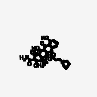 C[C@@H]1c2cccc(O)c2C(=O)C2=C(O)[C@@]3(O)C(=O)C(C(N)=O)=C(O)[C@H](N(C)C)[C@H]3[C@H](OC(=O)CCN3CCCC3)[C@@H]21